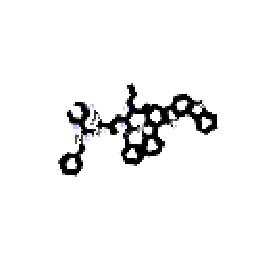 C=C/C=C(C=C)/C(=C/C(=C)/C(N)=N/C(=N\Cc1ccccc1)C(/C=C\C)=C/C)C(=C/c1ccccc1)/n1c2ccccc2c2c3oc4c(ccc5sc6ccccc6c54)c3ccc21